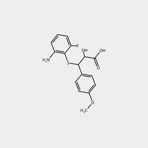 COc1ccc(C(Sc2c(N)cccc2F)C(O)C(=O)O)cc1